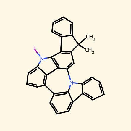 CC1(C)c2ccccc2-c2c1cc1c3c4c(cccc4n(I)c23)c2cccc3c4ccccc4n1c23